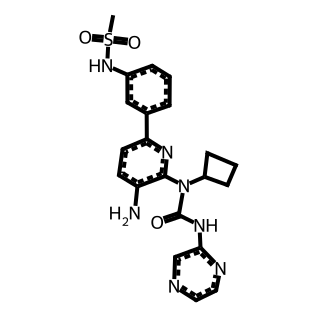 CS(=O)(=O)Nc1cccc(-c2ccc(N)c(N(C(=O)Nc3cnccn3)C3CCC3)n2)c1